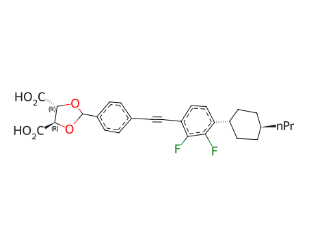 CCC[C@H]1CC[C@H](c2ccc(C#Cc3ccc(C4O[C@@H](C(=O)O)[C@H](C(=O)O)O4)cc3)c(F)c2F)CC1